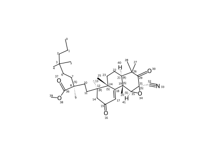 CCCC(C)(C)CC[C@@](C)(CC[C@]1(C)CC(=O)C=C2[C@]3(C)[C@@H](CC[C@]21C)C(C)(C)C(=O)[C@@]1(C#N)O[C@@H]31)C(=O)OC